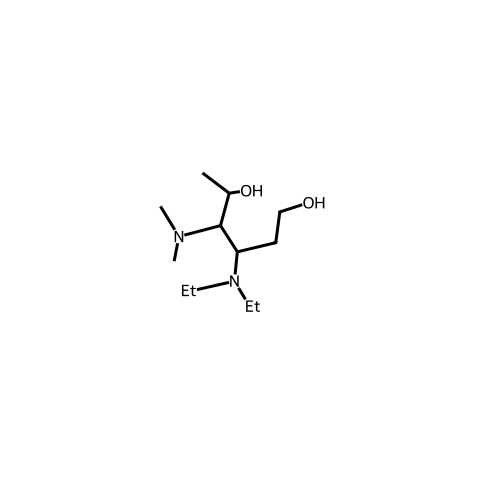 CCN(CC)C(CCO)C(C(C)O)N(C)C